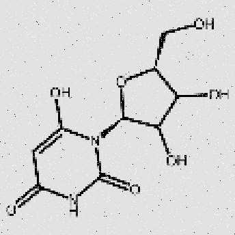 O=c1cc(O)n([C@H]2O[C@@H](CO)C(O)C2O)c(=O)[nH]1